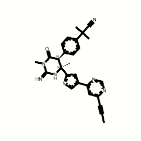 CC#Cc1cc(-c2csc([C@@]3(C)NC(=N)N(C)C(=O)[C@H]3c3ccc(C(C)(C)C#N)cc3)c2)ncn1